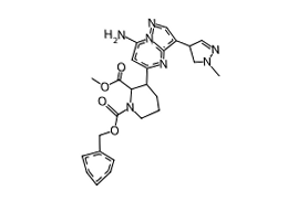 COC(=O)C1C(c2cc(N)n3ncc(C4C=NN(C)C4)c3n2)CCCN1C(=O)OCc1ccccc1